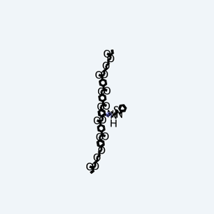 C=CC(=O)OCCOCCOC(=O)C1CCC(C(=O)OC2CCC(C(=O)Oc3ccc(OC(=O)C4CCC(C(=O)Oc5ccc(OCCOCCOC(=O)C=C)cc5)CC4)c(/C=N/Nc4nc5ccccc5s4)c3)CC2)CC1